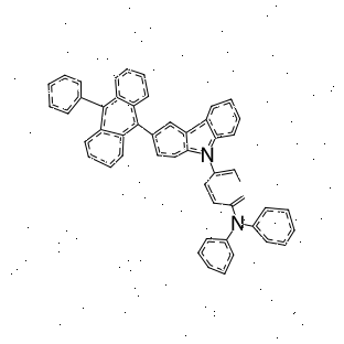 C=C(/C=C\C(=C/C)n1c2ccccc2c2cc(-c3c4ccccc4c(-c4ccccc4)c4ccccc34)ccc21)N(c1ccccc1)c1ccccc1